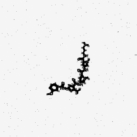 COc1cccc(C(=O)Nc2nc(C(=O)Nc3cc(C(=O)Nc4cc(C(=O)NCCCN(C)C)n(C)c4)n(C)c3)c(C(C)C)s2)c1